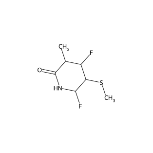 CSC1C(F)NC(=O)C(C)C1F